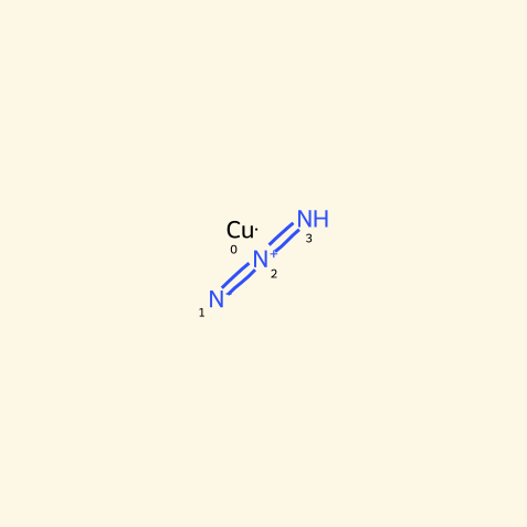 [Cu].[N-]=[N+]=N